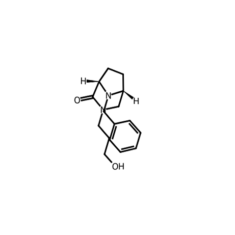 O=C1[C@@H]2CC[C@H](CN1CCCO)N2Cc1ccccc1